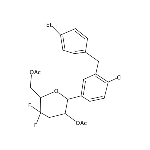 CCc1ccc(Cc2cc(C3OC(COC(C)=O)C(F)(F)CC3OC(C)=O)ccc2Cl)cc1